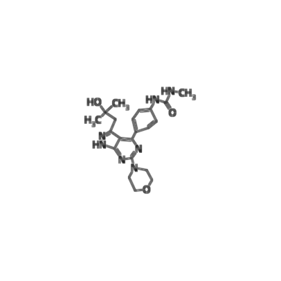 CNC(=O)Nc1ccc(-c2nc(N3CCOCC3)nc3[nH]nc(CC(C)(C)O)c23)cc1